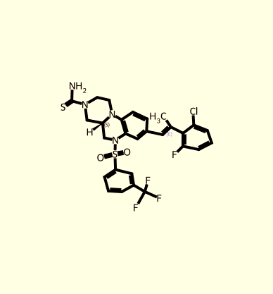 C/C(=C\c1ccc2c(c1)N(S(=O)(=O)c1cccc(C(F)(F)F)c1)C[C@@H]1CN(C(N)=S)CCN21)c1c(F)cccc1Cl